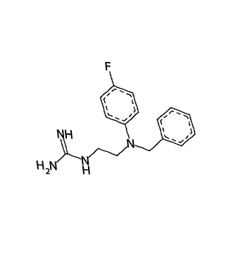 N=C(N)NCCN(Cc1ccccc1)c1ccc(F)cc1